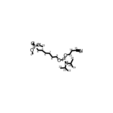 COP(=O)(CCCCCCOP(OCCC#N)N(C(C)C)C(C)C)OC